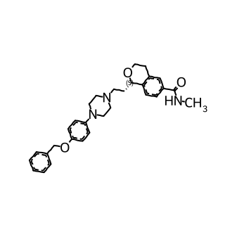 CNC(=O)c1ccc2c(c1)CCO[C@H]2CCN1CCN(c2ccc(OCc3ccccc3)cc2)CC1